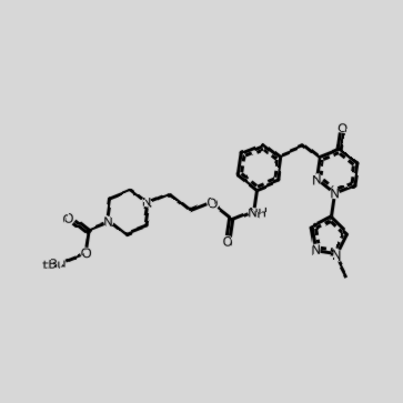 Cn1cc(-n2ccc(=O)c(Cc3cccc(NC(=O)OCCN4CCN(C(=O)OC(C)(C)C)CC4)c3)n2)cn1